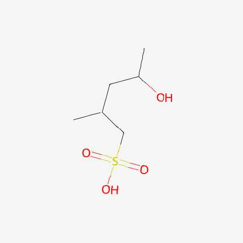 CC(O)CC(C)CS(=O)(=O)O